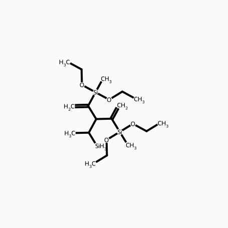 C=C(C(C(=C)[Si](C)(OCC)OCC)C(C)[SiH3])[Si](C)(OCC)OCC